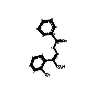 Cc1ccccc1/C(=C\OC(=O)c1ccccc1)C(=O)O